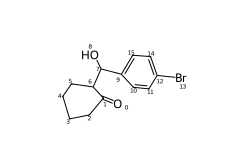 O=C1CCCCC1C(O)c1ccc(Br)cc1